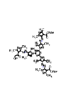 COC(=O)c1c(C)nn(C)c1/N=N/c1c(C)nn(-c2nc(-n3nc(C)c(/N=N/c4c(C(=O)CO)c(C)nn4C)c3N)nc(-n3nc(C)c(/N=N/c4c(C(=O)OC)c(C)nn4C)c3N)n2)c1N